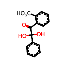 O=C(O)c1ccccc1C(=O)C(O)(O)c1ccccc1